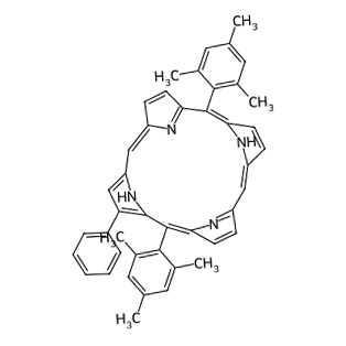 Cc1cc(C)c(-c2c3nc(cc4cc(-c5ccccc5)c([nH]4)c(-c4c(C)cc(C)cc4C)c4nc(cc5ccc2[nH]5)C=C4)C=C3)c(C)c1